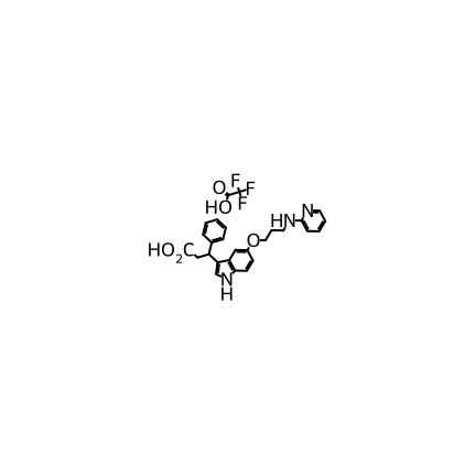 O=C(O)C(F)(F)F.O=C(O)CC(c1ccccc1)c1c[nH]c2ccc(OCCCNc3ccccn3)cc12